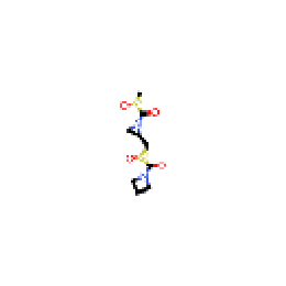 C[S+]([O-])C(=O)N1CC1C[S+]([O-])C(=O)N1CCC1